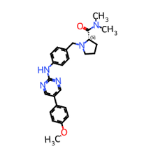 COc1ccc(-c2cnc(Nc3ccc(CN4CCC[C@H]4C(=O)N(C)C)cc3)nc2)cc1